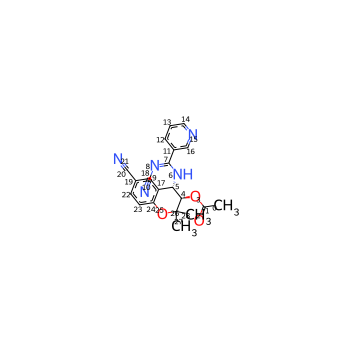 CC(=O)O[C@@H]1[C@@H](N/C(=N\C#N)c2cccnc2)c2cc(C#N)ccc2OC1(C)C